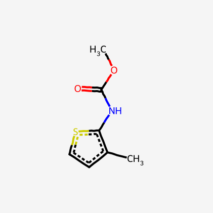 COC(=O)Nc1sccc1C